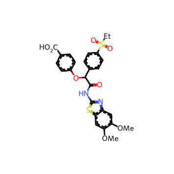 CCS(=O)(=O)c1ccc(C(Oc2ccc(C(=O)O)cc2)C(=O)Nc2nc3cc(OC)c(OC)cc3s2)cc1